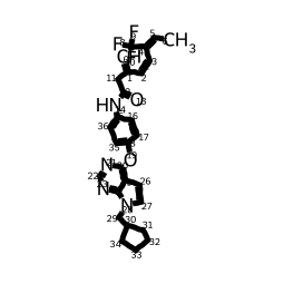 C=C(/C=C\C(=C/C)C(F)(F)F)CC(=O)Nc1ccc(Oc2ncnc3c2ccn3CC2CCCC2)cc1